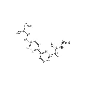 CCCCCNC(=O)N(C)c1cccc(-c2ccc(CCC(=O)OC)cc2)c1